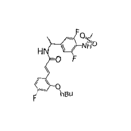 CCCCOc1cc(F)ccc1C=CC(=O)NC(C)c1cc(F)c(NS(C)(=O)=O)c(F)c1